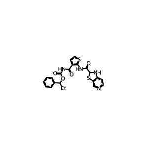 CCC(OC(=O)NC(=O)c1ccsc1NC(=O)C1Nc2ccncc2S1)c1ccccc1